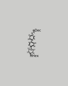 CCCCCCCCCCCCc1ccc(-c2ccc(C3CCC(CCCCCC)CC3)cc2)cc1